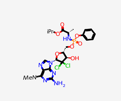 CNc1nc(N)nc2c1ncn2[C@@H]1O[C@H](COP(=O)(N[C@@H](C)C(=O)OC(C)C)Oc2ccccc2)[C@@H](O)C1(Cl)Cl